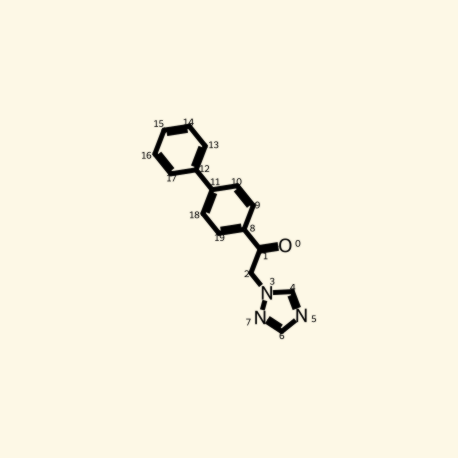 O=C(Cn1cncn1)c1ccc(-c2ccccc2)cc1